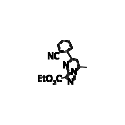 CCOC(=O)c1ncn2c(C)cc(-c3ccccc3C#N)nc12